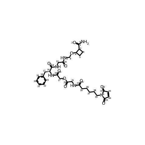 NC(=O)C1CCC1OCNC(=O)CNC(=O)[C@H](Cc1ccccc1)NC(=O)COC(=O)CNC(=O)CCCCCN1C(=O)C=CC1=O